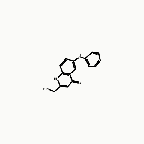 NCc1cc(=O)c2cc(Nc3ccccc3)ccc2[nH]1